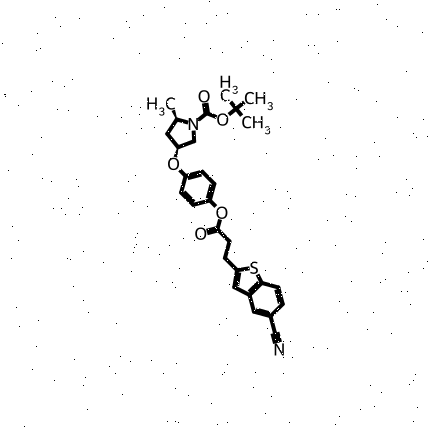 C[C@@H]1C[C@H](Oc2ccc(OC(=O)CCc3cc4cc(C#N)ccc4s3)cc2)CN1C(=O)OC(C)(C)C